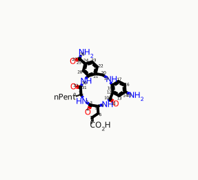 CCCCC[C@@H]1NC(=O)C(CCC(=O)O)NC(=O)c2cc(N)ccc2NCc2ccc(C(N)=O)cc2NC1=O